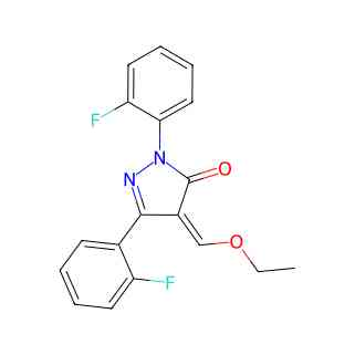 CCO/C=C1\C(=O)N(c2ccccc2F)N=C1c1ccccc1F